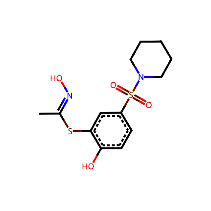 CC(=NO)Sc1cc(S(=O)(=O)N2CCCCC2)ccc1O